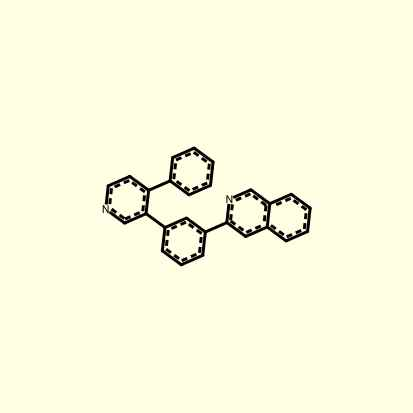 c1ccc(-c2ccncc2-c2cccc(-c3cc4ccccc4cn3)c2)cc1